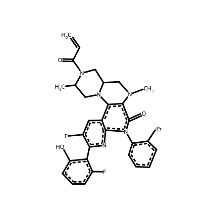 C=CC(=O)N1CC2CN(C)c3c(c4cc(F)c(-c5c(O)cccc5F)nc4n(-c4ccccc4C(C)C)c3=O)N2CC1C